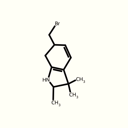 CC1NC2=C(C=CC(CBr)C2)C1(C)C